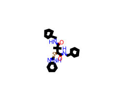 CC(C)(C(=O)NCc1ccccc1)C(Sc1nc2ccccc2[nH]1)C(=O)NCc1ccccc1